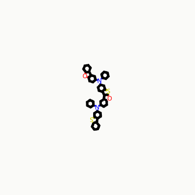 c1ccc(N(c2ccc3c(c2)sc2oc4ccc(N(c5ccccc5)c5ccc6c(c5)sc5ccccc56)cc4c23)c2ccc3oc4ccccc4c3c2)cc1